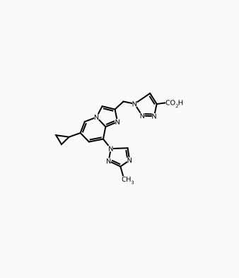 Cc1ncn(-c2cc(C3CC3)cn3cc(Cn4cc(C(=O)O)nn4)nc23)n1